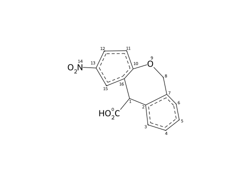 O=C(O)C1c2ccccc2COc2ccc([N+](=O)[O-])cc21